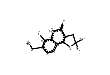 [2H]C1([2H])Cc2c(c3ccc(CO)c(F)c3[nH]c2=O)O1